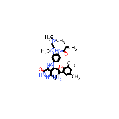 C=CC(=O)Nc1ccc(-n2nc3c(=O)[nH]nc(N)c3c2-c2oc3c(c2C)C=C(C)CC3C)cc1N(C)CCN(C)C